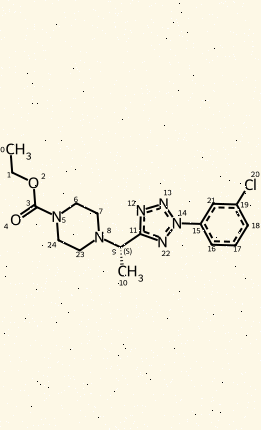 CCOC(=O)N1CCN([C@@H](C)c2nnn(-c3cccc(Cl)c3)n2)CC1